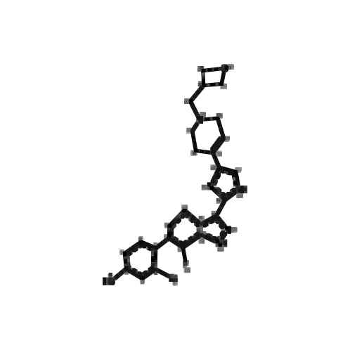 CCc1cc(O)ccc1-c1ccc2c(-c3nc(C4=CCN(CC5COC5)CC4)c[nH]3)n[nH]c2c1F